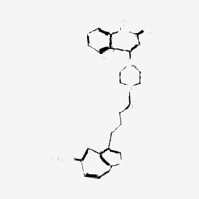 COc1ccc2[nH]cc(CCCCN3CCN(c4cc(=O)oc5ccccc45)CC3)c2c1